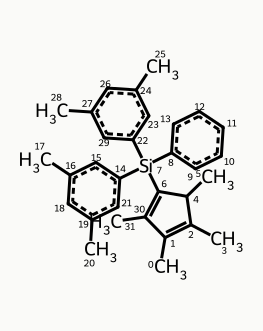 CC1=C(C)C(C)C([Si](c2ccccc2)(c2cc(C)cc(C)c2)c2cc(C)cc(C)c2)=C1C